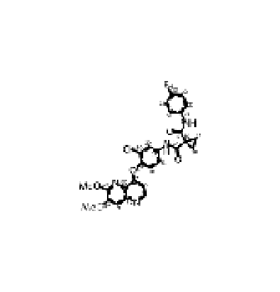 COc1cc2nccc(Oc3ccc(NC(=O)C4(C(=O)Nc5ccc(F)cc5)CC4)cc3Cl)c2nc1OC